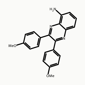 COc1ccc(-c2nc3cccc(N)c3nc2-c2ccc(OC)cc2)cc1